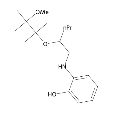 CCCC(CNc1ccccc1O)OC(C)(C)C(C)(C)OC